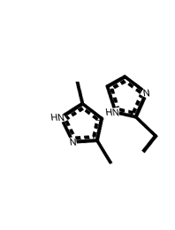 CCc1ncc[nH]1.Cc1cc(C)[nH]n1